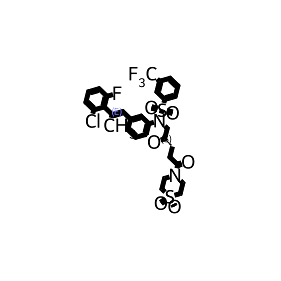 C/C(=C\c1ccc2c(c1)N(S(=O)(=O)c1cccc(C(F)(F)F)c1)C[C@H](CCC(=O)N1CCS(=O)(=O)CC1)O2)c1c(F)cccc1Cl